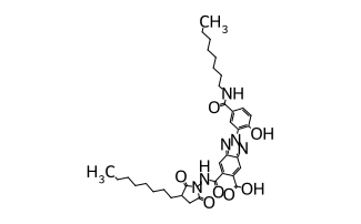 CCCCCCCCNC(=O)c1ccc(O)c(-n2nc3cc(C(=O)O)c(C(=O)NN4C(=O)CC(CCCCCCCC)C4=O)cc3n2)c1